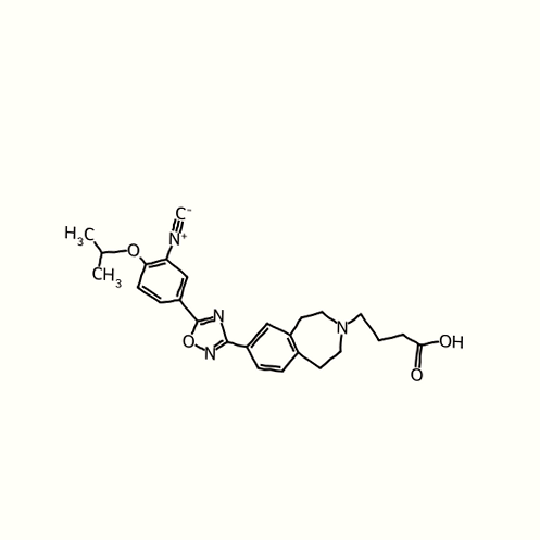 [C-]#[N+]c1cc(-c2nc(-c3ccc4c(c3)CCN(CCCC(=O)O)CC4)no2)ccc1OC(C)C